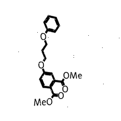 COC(=O)c1ccc(OCCCOc2ccccc2)cc1C(=O)OC